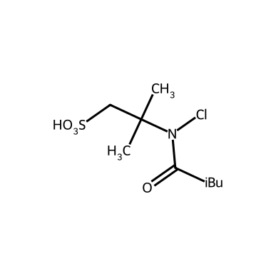 CCC(C)C(=O)N(Cl)C(C)(C)CS(=O)(=O)O